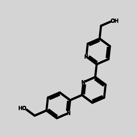 OCc1ccc(-c2cccc(-c3ccc(CO)cn3)n2)nc1